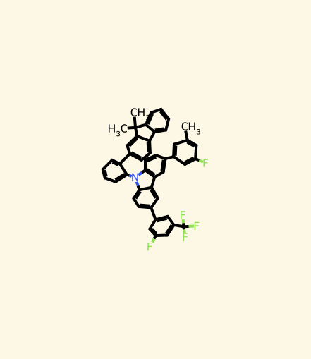 Cc1cc(F)cc(-c2ccc3c(c2)c2cc(-c4cc(F)cc(C(F)(F)F)c4)ccc2n3-c2ccccc2-c2ccc3c(c2)C(C)(C)c2ccccc2-3)c1